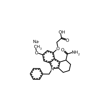 COc1cc(OCC(=O)O)c2c3c(n(Cc4ccccc4)c2c1)CCCC3C(N)=O.[Na]